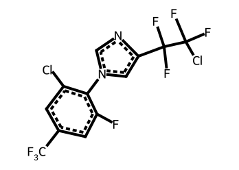 Fc1cc(C(F)(F)F)cc(Cl)c1-n1cnc(C(F)(F)C(F)(F)Cl)c1